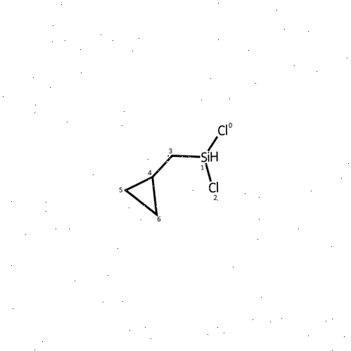 Cl[SiH](Cl)[CH]C1CC1